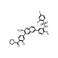 COc1ncc(-c2ccc3nc(N)c(-c4ccc(C(=O)N5CCCC5)c(Cl)c4)cc3c2)cc1NS(=O)(=O)c1ccc(F)cc1F